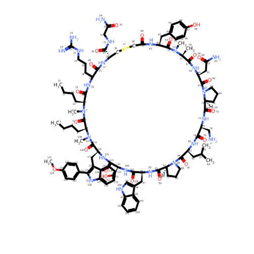 CCCC[C@H]1C(=O)N(C)[C@@H](CCCC)C(=O)NC(CCCNC(=N)N)C(=O)N[C@H](C(=O)NCC(N)=O)CSCC(=O)N[C@@H](Cc2ccc(O)cc2)C(=O)N(C)[C@@H](C)C(=O)N[C@@H](CC(N)=O)C(=O)N2CCC[C@H]2C(=O)N[C@@H](CN)C(=O)N[C@@H](CC(C)C)C(=O)N2CCC[C@H]2C(=O)N[C@@H](Cc2c[nH]c3ccccc23)C(=O)N[C@@H](CO)C(=O)N[C@@H](Cc2c(-c3ccc(OC)cc3)[nH]c3ccccc23)C(=O)N1C